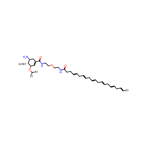 CCC=CCC=CCC=CCC=CCC=CCC=CCCC(=O)NCCOCCNC(=O)C1=C[C@@H](OC(CC)CC)[C@H](NC(C)=O)[C@@H](N)C1